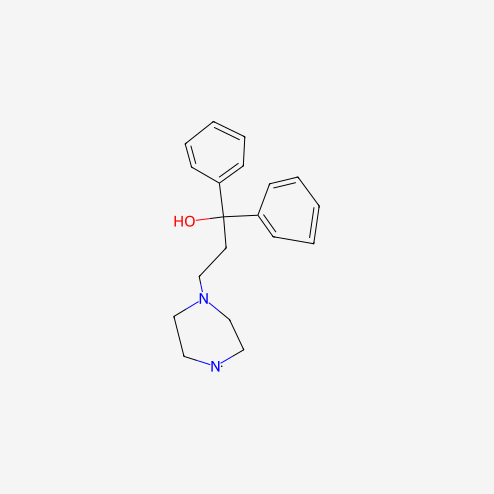 OC(CCN1CC[N]CC1)(c1ccccc1)c1ccccc1